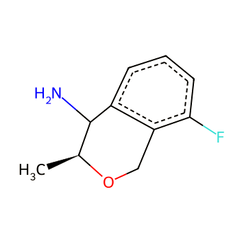 C[C@@H]1OCc2c(F)cccc2C1N